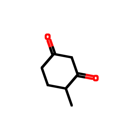 CC1CCC(=O)CC1=O